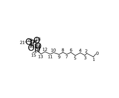 CCCCCCCCCCCCCCC(C)OP(=O)(O)OC